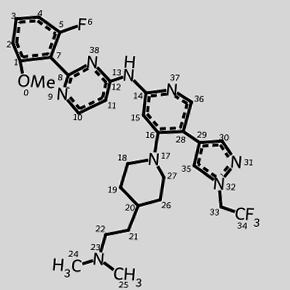 COc1cccc(F)c1-c1nccc(Nc2cc(N3CCC(CCN(C)C)CC3)c(-c3cnn(CC(F)(F)F)c3)cn2)n1